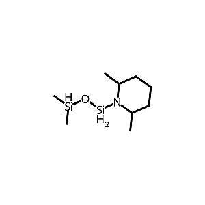 CC1CCCC(C)N1[SiH2]O[SiH](C)C